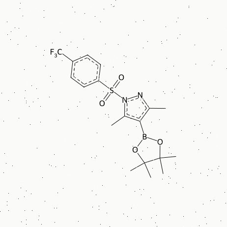 Cc1nn(S(=O)(=O)c2ccc(C(F)(F)F)cc2)c(C)c1B1OC(C)(C)C(C)(C)O1